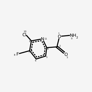 NOC(=O)c1ccc(F)c(Cl)n1